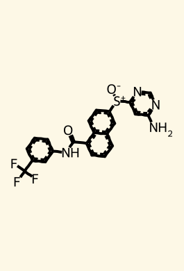 Nc1cc([S+]([O-])c2ccc3c(C(=O)Nc4cccc(C(F)(F)F)c4)cccc3c2)ncn1